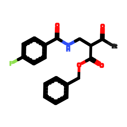 CCC(=O)C(CNC(=O)c1ccc(F)cc1)C(=O)OCc1ccccc1